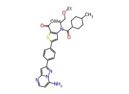 CCOCCN(C(=O)C1CCC(C)CC1)c1cc(-c2ccc(-c3cc4nccc(N)n4n3)cc2)sc1C(=O)OC